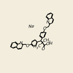 CC(C)(C(=O)O)C(c1ccc(OCc2ccc3ccccc3n2)cc1)c1ccc(OCc2ccc3ccccc3n2)cc1.[Na]